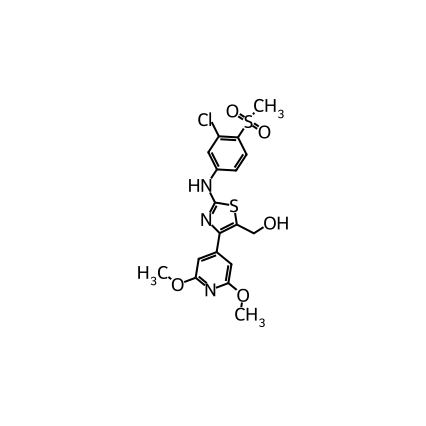 COc1cc(-c2nc(Nc3ccc(S(C)(=O)=O)c(Cl)c3)sc2CO)cc(OC)n1